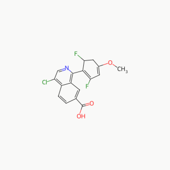 COC1=CC(F)=C(c2ncc(Cl)c3ccc(C(=O)O)cc23)C(F)C1